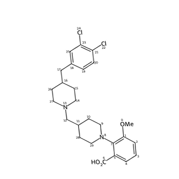 COc1cccc(C(=O)O)c1N1CCC(CN2CCC(Cc3ccc(Cl)c(Cl)c3)CC2)CC1